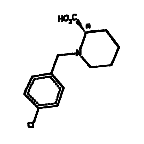 O=C(O)[C@@H]1CCCCN1Cc1ccc(Cl)cc1